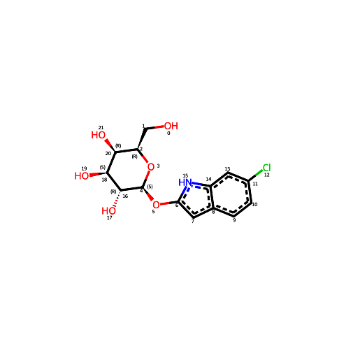 OC[C@H]1O[C@@H](Oc2cc3ccc(Cl)cc3[nH]2)[C@H](O)[C@@H](O)[C@H]1O